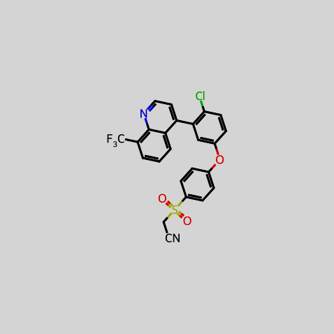 N#CCS(=O)(=O)c1ccc(Oc2ccc(Cl)c(-c3ccnc4c(C(F)(F)F)cccc34)c2)cc1